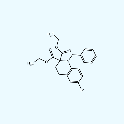 CCOC(=O)C1(C(=O)OCC)CCc2cc(Br)ccc2N1Cc1ccccc1